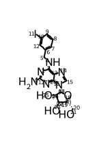 Nc1nc(NCc2cccc(I)c2)c2ncn([C@@H]3O[C@H](CO)[C@@H](O)[C@H]3O)c2n1